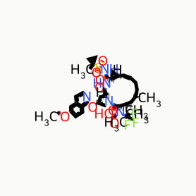 CCOc1ccc2c(O[C@@H]3C[C@H]4C(=O)N[C@]5(C(=O)NS(=O)(=O)C6(C)CC6)C[C@H]5C=CCC[C@H](C)C[C@@H](C)[C@H](N(C(=O)O)C(C)(C)C(F)(F)F)C(=O)N4C3)nccc2c1